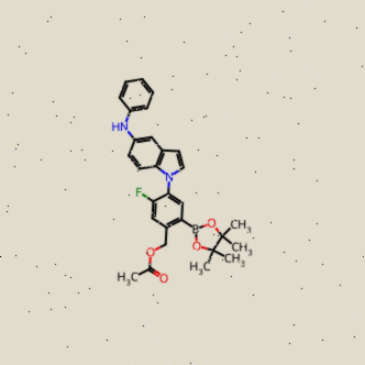 CC(=O)OCc1cc(F)c(-n2ccc3cc(Nc4ccccc4)ccc32)cc1B1OC(C)(C)C(C)(C)O1